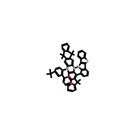 CC(C)(C)c1ccc(N2c3cc4c(cc3B3c5c2cc2c(c5-c5cccc6c7sc8ccccc8c7n3c56)C(C)(C)c3ccccc3-2)C(C)(C)c2ccccc2C4(C)C)c(-c2ccccc2)c1